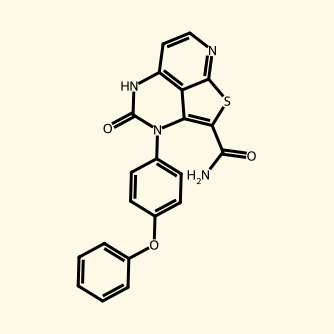 NC(=O)c1sc2nccc3c2c1N(c1ccc(Oc2ccccc2)cc1)C(=O)N3